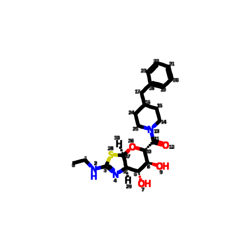 CCNC1=N[C@@H]2[C@@H](O)[C@H](O)[C@@H](C(=O)N3CCC(Cc4ccccc4)CC3)O[C@@H]2S1